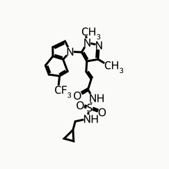 Cc1nn(C)c(-n2ccc3ccc(C(F)(F)F)cc32)c1C=CC(=O)NS(=O)(=O)NCC1CC1